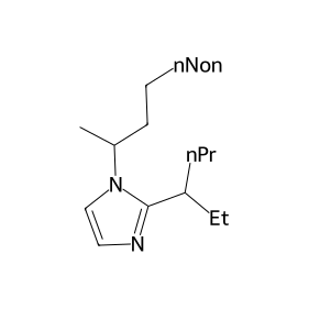 CCCCCCCCCCCC(C)n1ccnc1C(CC)CCC